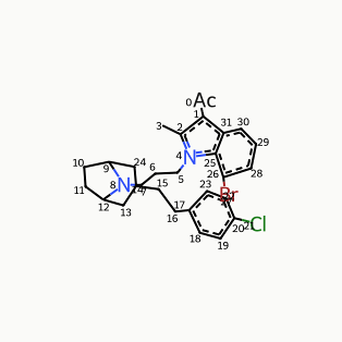 CC(=O)c1c(C)n(CCCN2C3CCC2CC(CCc2ccc(Cl)cc2)C3)c2c(Br)cccc12